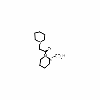 O=C(O)[C@@H]1CCCCN1C(=O)CN1CCCCC1